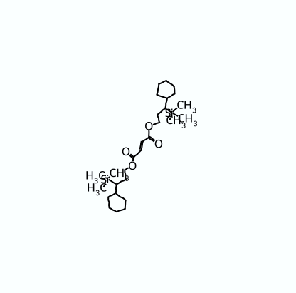 C[Si](C)(C)C(CCOC(=O)/C=C/C(=O)OCCC(C1CCCCC1)[Si](C)(C)C)C1CCCCC1